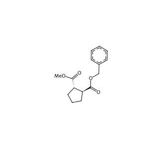 COC(=O)[C@H]1CCC[C@@H]1C(=O)OCc1ccccc1